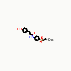 CCCCCCCCCCCCS(=O)(=O)c1ccc(NC(=O)C=Cc2ccc(O)cc2)cc1